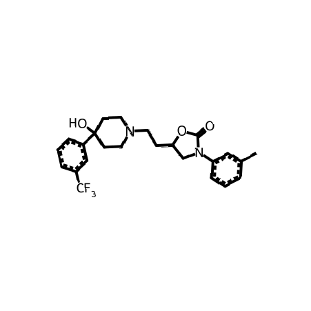 Cc1cccc(N2CC(CCN3CCC(O)(c4cccc(C(F)(F)F)c4)CC3)OC2=O)c1